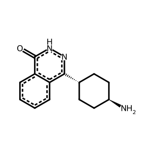 N[C@H]1CC[C@H](c2n[nH]c(=O)c3ccccc32)CC1